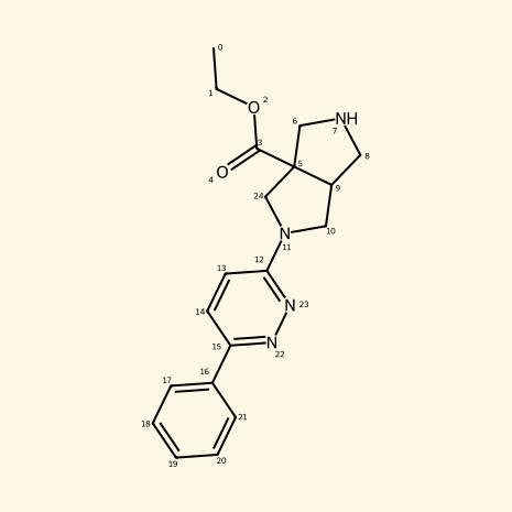 CCOC(=O)C12CNCC1CN(c1ccc(-c3ccccc3)nn1)C2